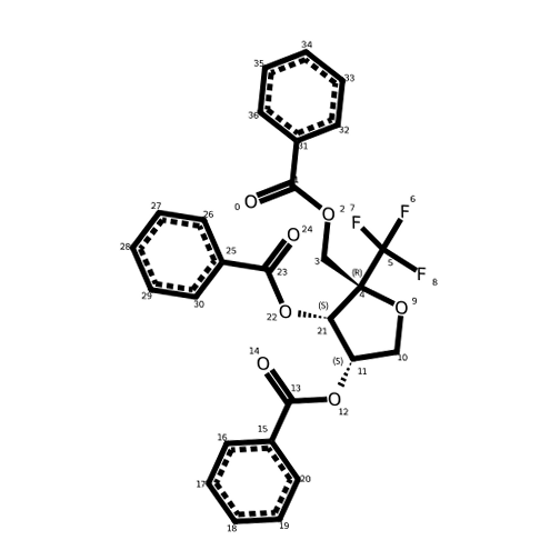 O=C(OC[C@@]1(C(F)(F)F)OC[C@H](OC(=O)c2ccccc2)[C@@H]1OC(=O)c1ccccc1)c1ccccc1